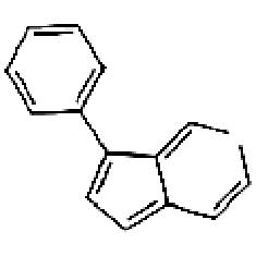 [c]1ccccc1-c1ccc2ccocc1-2